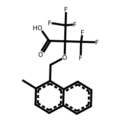 Cc1ccc2ccccc2c1COC(C(=O)O)(C(F)(F)F)C(F)(F)F